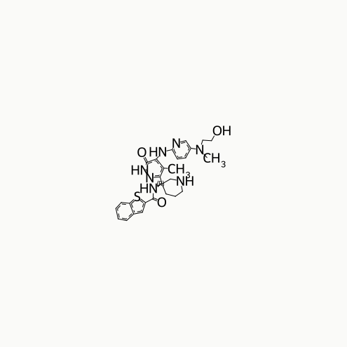 Cc1c([C@@]2(NC(=O)c3cc4ccccc4s3)CCCNC2)n[nH]c(=O)c1Nc1ccc(N(C)CCO)cn1